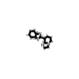 [c]1cn2cccc(-c3nc4ccccc4s3)c2n1